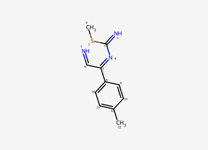 CSC(=N)/N=C(\C=N)c1ccc(C)cc1